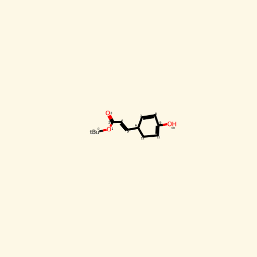 CC(C)(C)OC(=O)C=CC1C=CC(O)=CC1